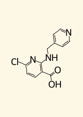 O=C(O)c1ccc(Cl)nc1NCc1ccncc1